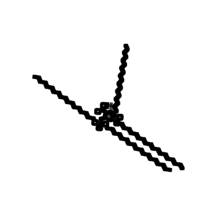 CCCCCCCCCCCCCCCCCCOP(=O)(CN(CP(=O)(OCCCCCCCCCCCCCCCCCC)OCCCCCCCCCCCCCCCCCC)C(C)C(=O)O)OCCCCCCCCCCCCCCCCCC